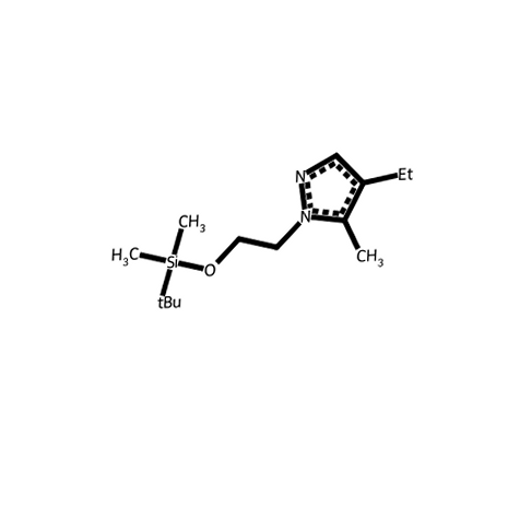 CCc1cnn(CCO[Si](C)(C)C(C)(C)C)c1C